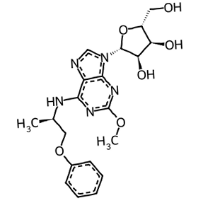 COc1nc(N[C@H](C)COc2ccccc2)c2ncn([C@@H]3O[C@H](CO)[C@@H](O)[C@H]3O)c2n1